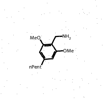 CCCCCc1cc(OC)c(CN)c(OC)c1